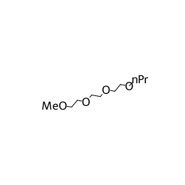 CCCOCCOCCOCCOC